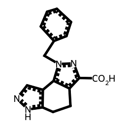 O=C(O)c1nn(Cc2ccccc2)c2c1CCc1[nH]ncc1-2